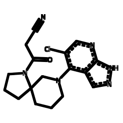 N#CCC(=O)N1CCCC12CCCN(c1c(Cl)cnc3[nH]ncc13)C2